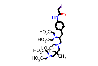 CC(C)(CN(CC(=O)O)CC(=O)O)CN(CC(=O)O)CC(Cc1ccc(NC(=O)CI)cc1)N(CC(=O)O)CC(=O)O